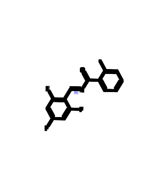 Cc1ccccc1C(=O)/N=C/c1c(F)cc(F)cc1F